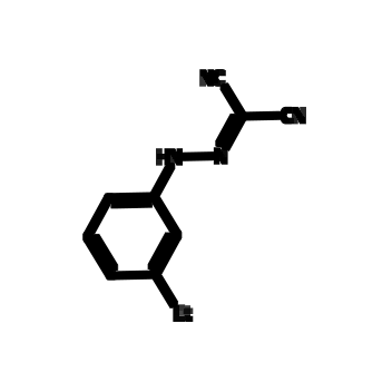 CCc1cccc(NN=C(C#N)C#N)c1